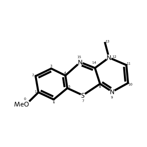 COc1ccc2c(c1)SC1=NC=CN(C)C1=N2